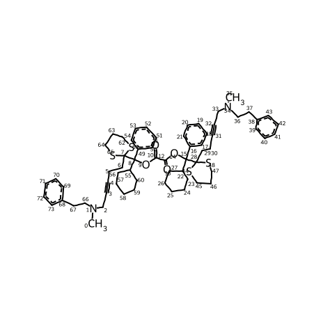 CN(CC#CCCC1(C(OC(=O)C(=O)OC(c2ccccc2)(C2CCCCC2)C2(CCC#CCN(C)CCc3ccccc3)SCCCS2)(c2ccccc2)C2CCCCC2)SCCCS1)CCc1ccccc1